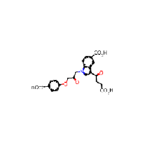 CCCCCCCCc1ccc(OCC(=O)Cn2cc(C(=O)CCC(=O)O)c3cc(C(=O)O)ccc32)cc1